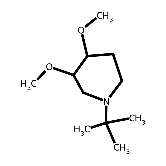 COC1CCN(C(C)(C)C)CC1OC